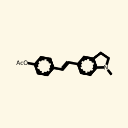 CC(=O)Oc1ccc(/C=C/c2ccc3c(c2)CCN3C)cc1